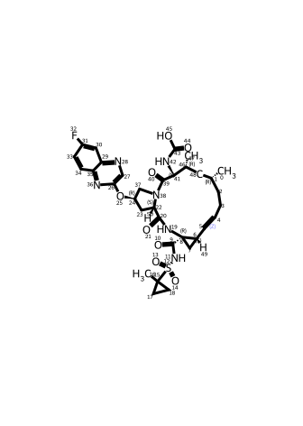 C[C@@H]1CC/C=C\[C@@H]2C[C@@]2(C(=O)NS(=O)(=O)C2(C)CC2)NC(=O)[C@@H]2C[C@@H](Oc3cnc4cc(F)ccc4n3)CN2C(=O)[C@@H](NC(=O)O)[C@H](C)C1